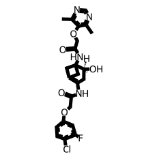 Cc1ncnc(C)c1OCC(=O)NC12CC(=C(NC(=O)COc3ccc(Cl)c(F)c3)C[C@@H]1O)C2